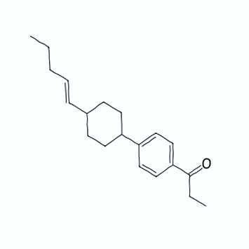 CCCC=CC1CCC(c2ccc(C(=O)CC)cc2)CC1